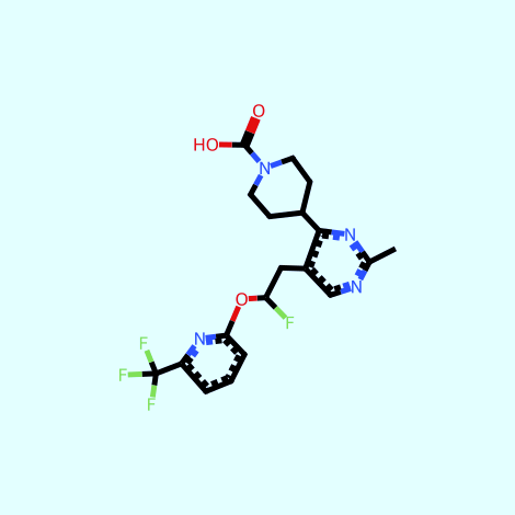 Cc1ncc(CC(F)Oc2cccc(C(F)(F)F)n2)c(C2CCN(C(=O)O)CC2)n1